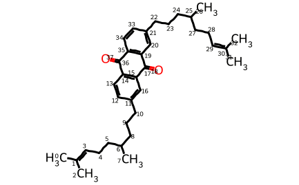 CC(C)=CCCC(C)CCCc1ccc2c(c1)C(=O)c1cc(CCCC(C)CCC=C(C)C)ccc1C2=O